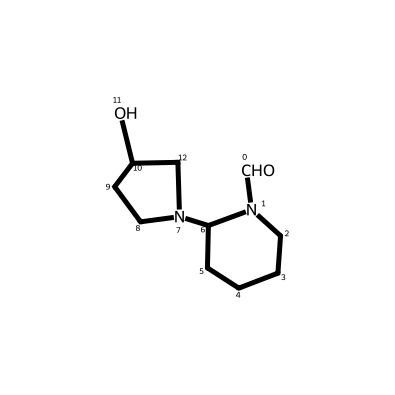 O=CN1CCCCC1N1CCC(O)C1